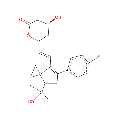 CC(C)(O)C1=CC(c2ccc(F)cc2)=C(C=C[C@H]2C[C@H](O)CC(=O)O2)C12CC2